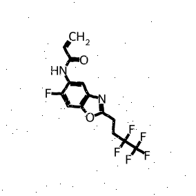 C=CC(=O)Nc1cc2nc(CCC(F)(F)C(F)(F)F)oc2cc1F